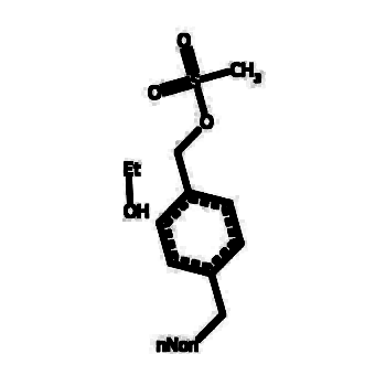 CCCCCCCCCCc1ccc(COS(C)(=O)=O)cc1.CCO